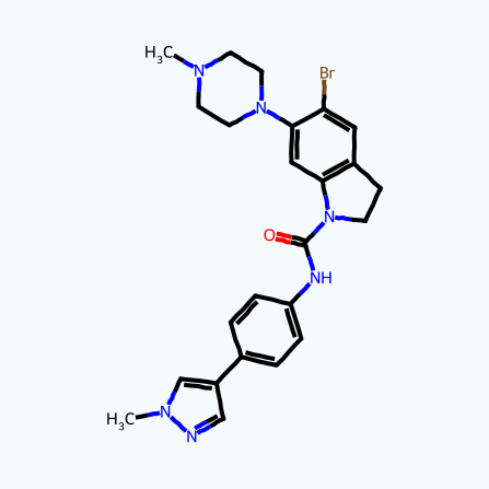 CN1CCN(c2cc3c(cc2Br)CCN3C(=O)Nc2ccc(-c3cnn(C)c3)cc2)CC1